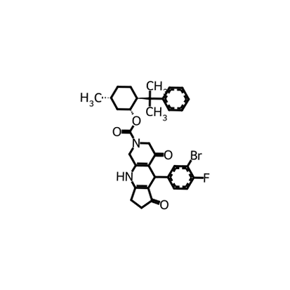 C[C@@H]1CC[C@@H](C(C)(C)c2ccccc2)[C@H](OC(=O)N2CC(=O)C3=C(C2)NC2=C(C(=O)CC2)C3c2ccc(F)c(Br)c2)C1